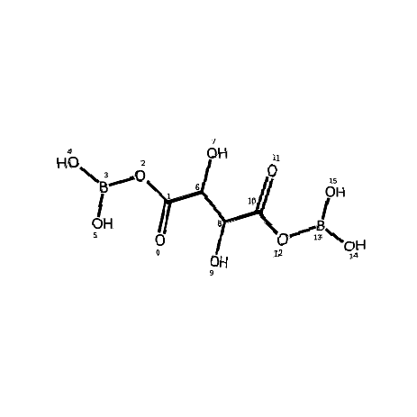 O=C(OB(O)O)C(O)C(O)C(=O)OB(O)O